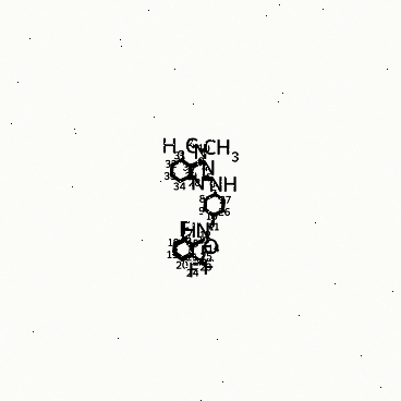 CN(C)c1nc(NC2CCC(CNC(=O)c3c(F)cccc3C(F)(F)F)CC2)nc2c1CCCC2